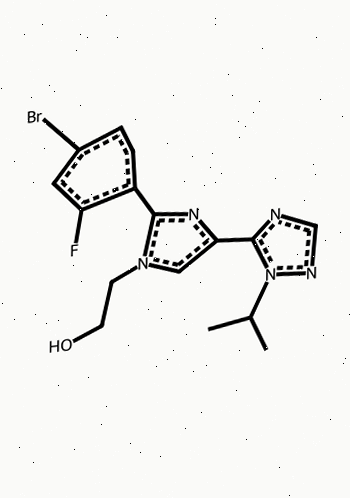 CC(C)n1ncnc1-c1cn(CCO)c(-c2ccc(Br)cc2F)n1